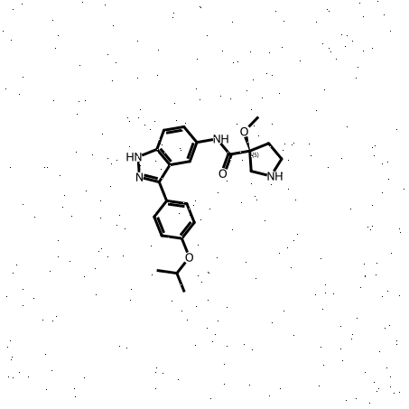 CO[C@@]1(C(=O)Nc2ccc3[nH]nc(-c4ccc(OC(C)C)cc4)c3c2)CCNC1